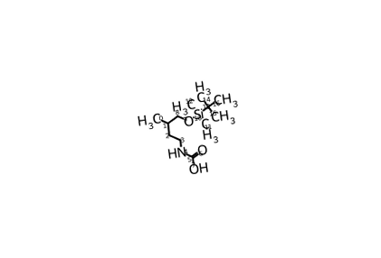 CC(CCNC(=O)O)CO[Si](C)(C)C(C)(C)C